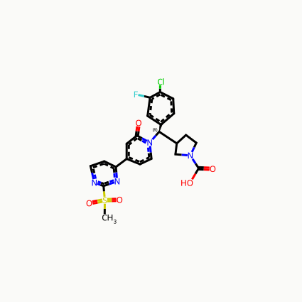 CS(=O)(=O)c1nccc(-c2ccn([C@@H](c3ccc(Cl)c(F)c3)C3CCN(C(=O)O)C3)c(=O)c2)n1